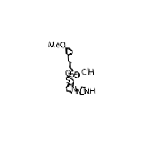 COc1cccc(CC=CCS(=O)(=O)C2C=C3C(=CC=CN3N3CCNCC3)S2)c1.Cl